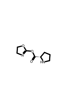 O=C(OC1=NCCO1)[C@@H]1CCCN1